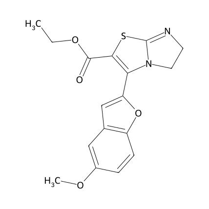 CCOC(=O)C1=C(c2cc3cc(OC)ccc3o2)N2CCN=C2S1